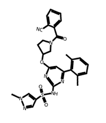 Cc1cccc(C)c1-c1cc(OC2CCN(C(=O)c3ccccc3C#N)C2)nc(NS(=O)(=O)c2cnn(C)c2)n1